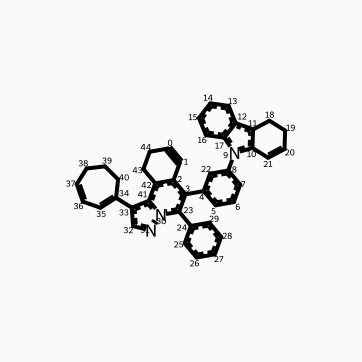 C1#Cc2c(-c3cccc(-n4c5c(c6ccccc64)CCC=C5)c3)c(-c3ccccc3)n3ncc(C4=CC=CCCC4)c3c2CC1